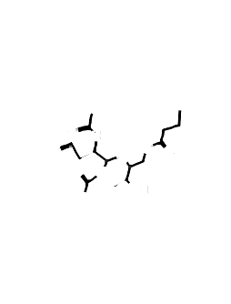 CCCC(=O)OCC(OC(OC(C)=O)[C@@H](CC=O)NC(C)=O)[C@H](C)O